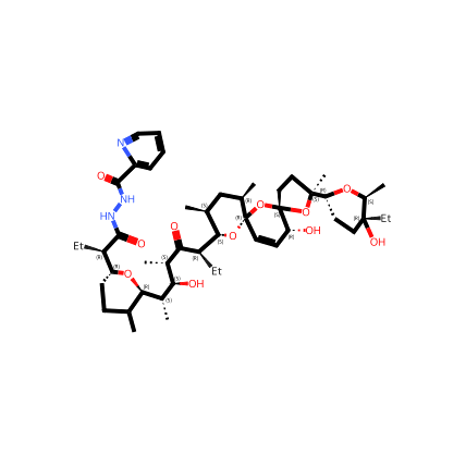 CC[C@@H](C(=O)[C@@H](C)[C@@H](O)[C@H](C)[C@@H]1O[C@@H]([C@@H](CC)C(=O)NNC(=O)c2ccccn2)CCC1C)[C@H]1O[C@]2(C=C[C@@H](O)[C@]3(CC[C@@](C)([C@H]4CC[C@](O)(CC)[C@H](C)O4)O3)O2)[C@H](C)C[C@@H]1C